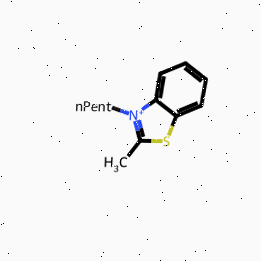 CCCCC[n+]1c(C)sc2ccccc21